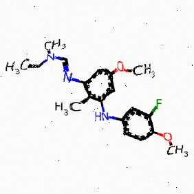 CCN(C)C=Nc1cc(OC)cc(Nc2ccc(OC)c(F)c2)c1C